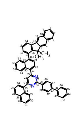 CC1(C)c2cc3ccccc3cc2-c2cccc(-c3ccc(-c4cc(-c5cccc6ccccc56)nc(-c5ccc(-c6ccccc6)cc5)n4)c4ccccc34)c21